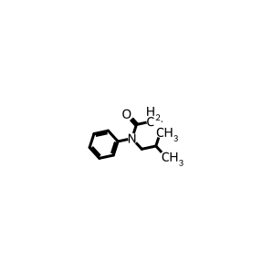 [CH2]C(=O)N(CC(C)C)c1ccccc1